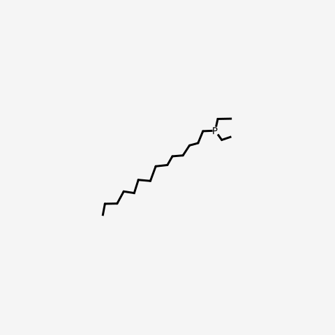 CCCCCCCCCCCCCCP(CC)CC